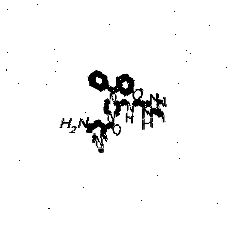 C=[N+](C)/C=C(\C=C(/C)N)C(=O)N1CCN(C(c2ccccc2)c2ccccc2)C(CNC(=O)c2nnc(I)[nH]2)C1